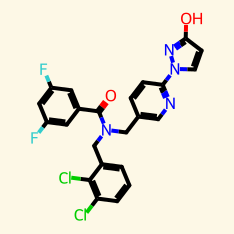 O=C(c1cc(F)cc(F)c1)N(Cc1ccc(-n2ccc(O)n2)nc1)Cc1cccc(Cl)c1Cl